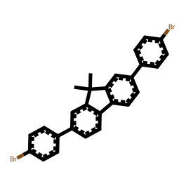 CC1(C)c2cc(-c3ccc(Br)cc3)ccc2-c2ccc(-c3ccc(Br)cc3)cc21